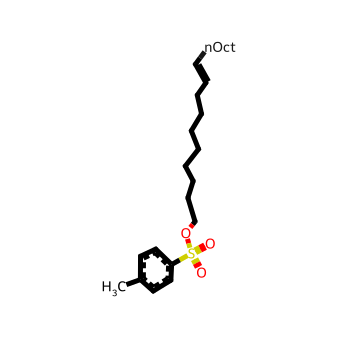 CCCCCCCCC=CCCCCCCCCOS(=O)(=O)c1ccc(C)cc1